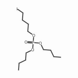 CCCCOP(=O)(OCCCC)OCCCCI